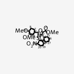 COC(=O)C1OC(c2ccc(OC)cc2OC)N(Sc2ccccc2[N+](=O)[O-])[C@H]1c1ccccc1